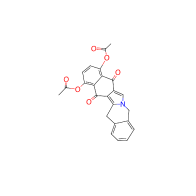 CC(=O)Oc1ccc(OC(C)=O)c2c1C(=O)c1cn3c(c1C2=O)Cc1ccccc1C3